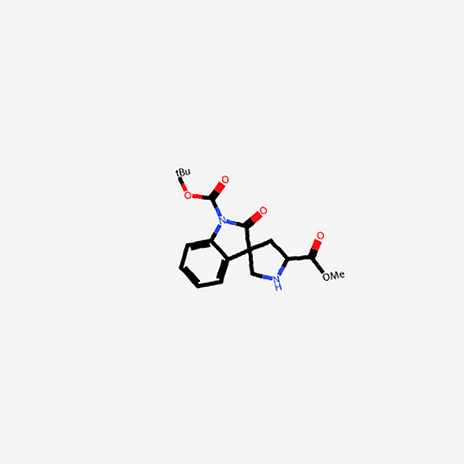 COC(=O)C1CC2(CN1)C(=O)N(C(=O)OC(C)(C)C)c1ccccc12